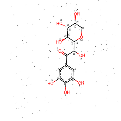 O=C(c1cc(O)c(O)c(O)c1)C(O)[C@H]1OC[C@H](O)[C@@H](O)[C@@H]1O